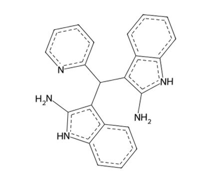 Nc1[nH]c2ccccc2c1C(c1ccccn1)c1c(N)[nH]c2ccccc12